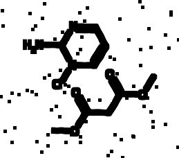 COC(=O)CC(=O)OC.NC1N=CC=CN1Cl